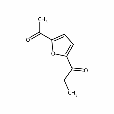 CCC(=O)c1ccc(C(C)=O)o1